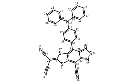 N#CC(C#N)=C1Sc2c(c(-c3ccc(N(c4ccccc4)c4ccccc4)cc3)c3nsnc3c2C#N)S1